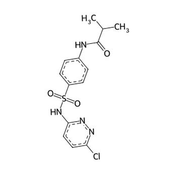 CC(C)C(=O)Nc1ccc(S(=O)(=O)Nc2ccc(Cl)nn2)cc1